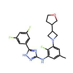 Cc1cc(Nc2n[nH]c(-c3cc(F)cc(F)c3)n2)c(F)c(N2CC(C3CCOC3)C2)c1